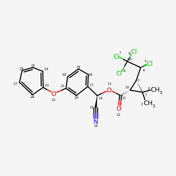 CC1(C)[C@@H]([C@H](Cl)C(Cl)(Cl)Cl)[C@H]1C(=O)O[C@@H](C#N)c1cccc(Oc2ccccc2)c1